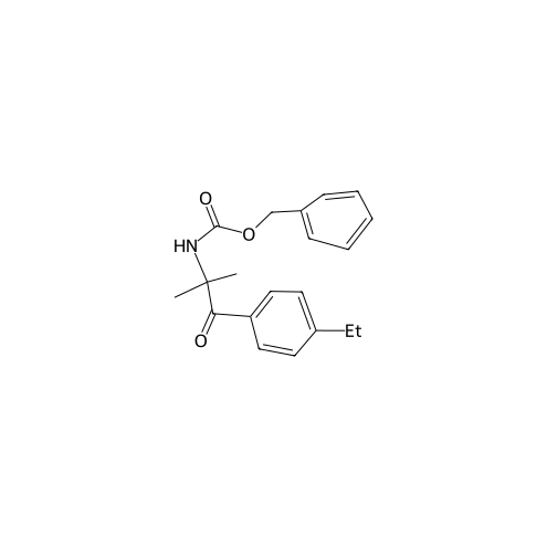 CCc1ccc(C(=O)C(C)(C)NC(=O)OCc2ccccc2)cc1